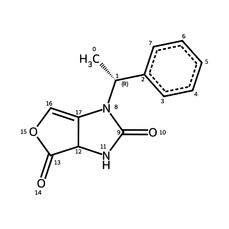 C[C@H](c1ccccc1)N1C(=O)NC2C(=O)OC=C21